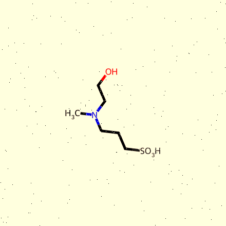 CN(CCO)CCCS(=O)(=O)O